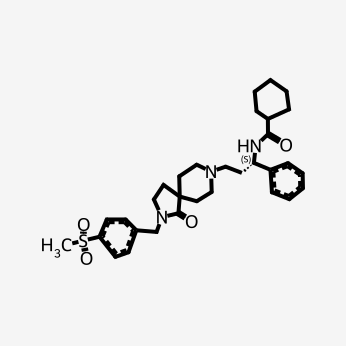 CS(=O)(=O)c1ccc(CN2CCC3(CCN(CC[C@H](NC(=O)C4CCCCC4)c4ccccc4)CC3)C2=O)cc1